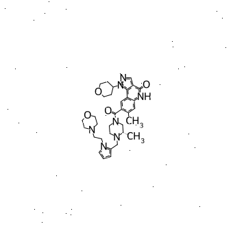 Cc1cc2[nH]c(=O)c3cnn(C4CCOCC4)c3c2cc1C(=O)N1CCN(Cc2cccn2CCN2CCOCC2)[C@@H](C)C1